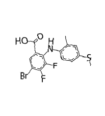 CSc1ccc(Nc2c(C(=O)O)cc(Br)c(F)c2F)c(C)c1